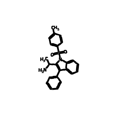 Cc1ccc(S(=O)(=O)n2c(C(C)N)c(-c3ccccc3)c3ccccc32)cc1